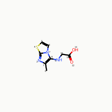 Cc1nc2sccn2c1NCC(=O)O